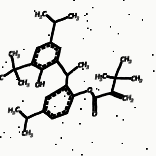 C=C(C(=O)Oc1ccc(C(C)C)cc1C(C)c1cc(C(C)C)cc(C(C)(C)C)c1O)C(C)(C)C